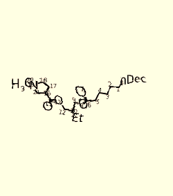 CCCCCCCCCCCCCCCC(=O)OCC(CC)COC(=O)C1CCN(C)C1